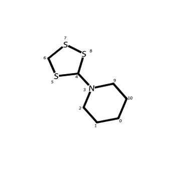 C1CCN(C2SCSS2)CC1